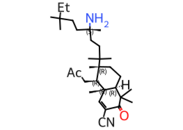 CCC(C)(C)CC[C@](C)(N)CCC(C)(C)[C@]1(C)CC[C@H]2C(C)(C)C(=O)C(C#N)=C[C@]2(C)[C@H]1CC(C)=O